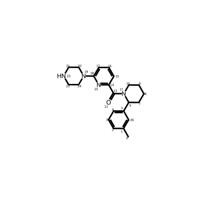 Cc1cccc(C2CCCCN2C(=O)c2cccc(N3CCNCC3)n2)c1